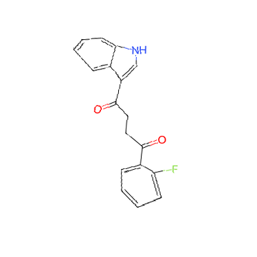 O=C(CCC(=O)c1c[nH]c2ccccc12)c1ccccc1F